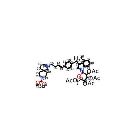 CC(=O)OC[C@H]1O[C@@H](n2cc(Cc3ccc(C=CCCN4CCCC5(CCN(C(=O)OC(C)(C)C)CC5)C4)cc3)c3c(C)cccc32)[C@H](OC(C)=O)[C@@H](OC(C)=O)[C@@H]1OC(C)=O